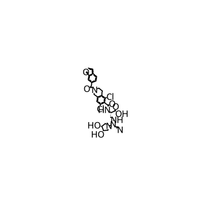 N#CN(NC[C@H](NC(=O)c1c(Cl)cc2c(c1Cl)CCN(C(=O)c1ccc3ccoc3c1)C2)C(=O)O)N1C[C@@H](O)[C@H](O)C1